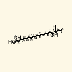 CCCCNC(O)CCCCCCCCCCCCCCCCC(O)O